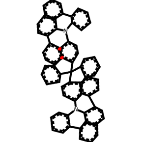 c1ccc(-c2ccccc2N(c2ccc3c(c2)-c2ccccc2C32c3ccccc3-c3cc(N(c4ccccc4-c4ccccc4)c4ccccc4-c4ccccc4)ccc32)c2ccccc2-c2ccccc2)cc1